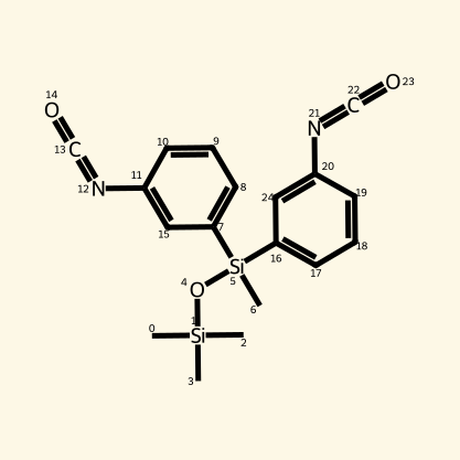 C[Si](C)(C)O[Si](C)(c1cccc(N=C=O)c1)c1cccc(N=C=O)c1